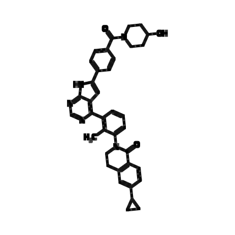 Cc1c(-c2ncnc3[nH]c(-c4ccc(C(=O)N5CCC(O)CC5)cc4)cc23)cccc1N1CCc2cc(C3CC3)ccc2C1=O